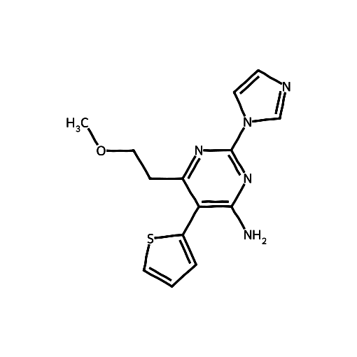 COCCc1nc(-n2ccnc2)nc(N)c1-c1cccs1